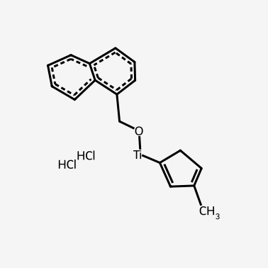 CC1=CC[C]([Ti][O]Cc2cccc3ccccc23)=C1.Cl.Cl